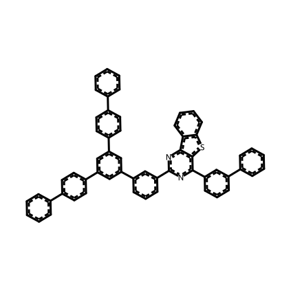 c1ccc(-c2ccc(-c3cc(-c4ccc(-c5ccccc5)cc4)cc(-c4cccc(-c5nc(-c6cccc(-c7ccccc7)c6)c6sc7ccccc7c6n5)c4)c3)cc2)cc1